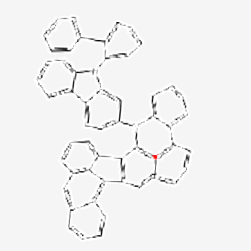 c1ccc(-c2ccccc2N(c2ccc3c4ccccc4n(-c4ccccc4-c4ccccc4)c3c2)c2cccc3c2-c2cccc4cc5ccccc5c-3c24)cc1